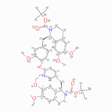 COc1cc2c(cc1OC)[C@@H](Cc1ccc(Oc3ccc(C[C@@H]4c5cc(OC)c(OC)cc5CCN4C(=O)OC(C)(C)C)cc3OC)nc1)N(C(=O)OC(C)(C)C)CC2